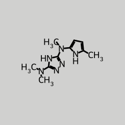 Cc1ccc(N(C)c2nnc(N(C)C)[nH]2)[nH]1